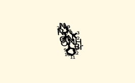 CC(C)(C)N(NC(=O)c1ccccc1Br)C(=O)c1ccncn1